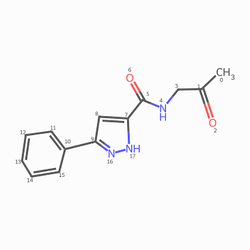 CC(=O)CNC(=O)c1cc(-c2ccccc2)n[nH]1